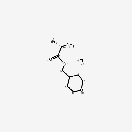 CC(C)[C@H](N)C(=O)OCC1CCOCC1.Cl